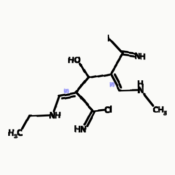 CCN/C=C(\C(=N)Cl)C(O)/C(=C/NC)C(=N)I